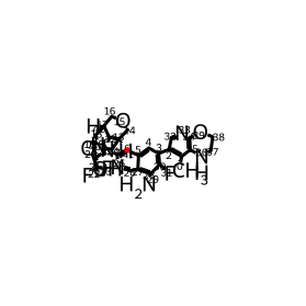 Cc1c(-c2cc3cc(N(C(=O)O)[C@@H]4[C@@H]5COC[C@H]4CN(CC(F)F)C5)ncc3c(N)c2F)cnc2c1NCCO2